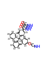 N=C=O.N=C=O.N=C=O.N=C=O.c1ccc(C(c2ccccc2)(c2ccccc2)c2ccccc2)cc1